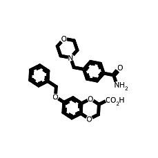 NC(=O)c1ccc(CN2CCOCC2)cc1.O=C(O)C1COc2ccc(OCc3ccccc3)cc2O1